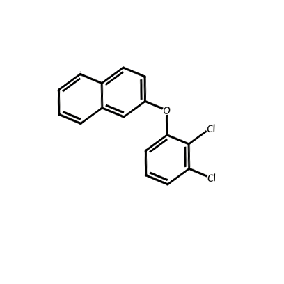 Clc1cccc(Oc2ccc3[c]cccc3c2)c1Cl